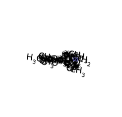 C=CN(C)/C(=C\N)[C@H](NC(=O)C1(OC)CC1)C1=Cc2cccnc2[C@@H](N2CCN(C(=O)OC3CCN(C(=O)OC(C)(C)C)CC3)CC2)c2ccc(Cl)cc21